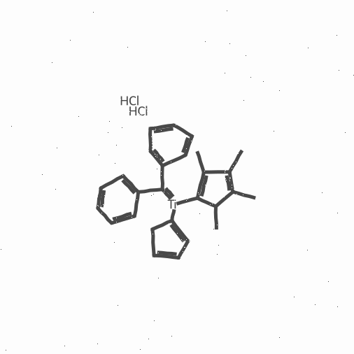 CC1=C(C)C(C)[C]([Ti]([C]2=CC=CC2)=[C](c2ccccc2)c2ccccc2)=C1C.Cl.Cl